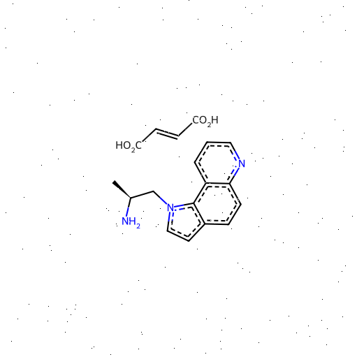 C[C@H](N)Cn1ccc2ccc3ncccc3c21.O=C(O)/C=C/C(=O)O